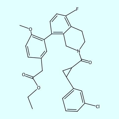 CCOC(=O)Cc1ccc(OC)c(-c2ccc(F)c3c2CN(C(=O)C2CC2c2cccc(Cl)c2)CC3)c1